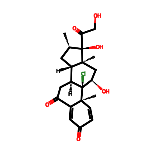 C[C@H]1C[C@H]2[C@@H]3CC(=O)C4=CC(=O)C=C[C@]4(C)[C@@]3(Cl)[C@@H](O)C[C@]2(C)[C@@]1(O)C(=O)CO